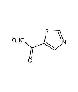 O=CC(=O)c1cncs1